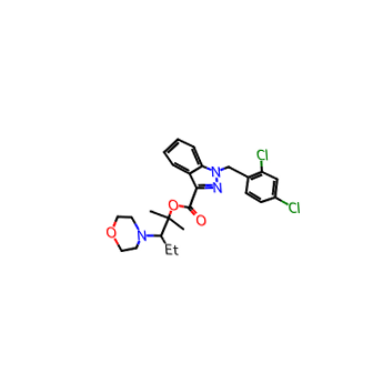 CCC(N1CCOCC1)C(C)(C)OC(=O)c1nn(Cc2ccc(Cl)cc2Cl)c2ccccc12